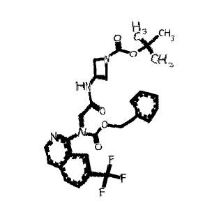 CC(C)(C)OC(=O)N1CC(NC(=O)CN(C(=O)OCc2ccccc2)c2nccc3ccc(C(F)(F)F)cc23)C1